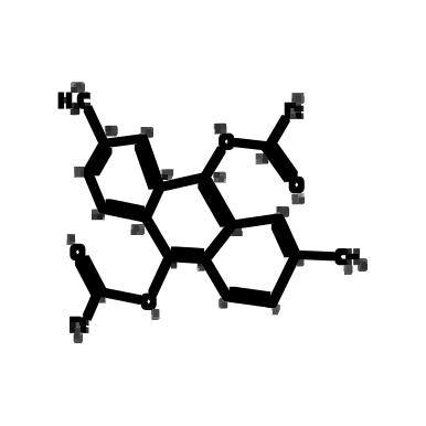 CCC(=O)Oc1c2ccc(C)cc2c(OC(=O)CC)c2cc(C)ccc12